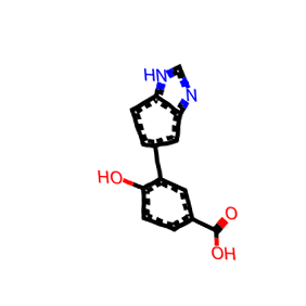 O=C(O)c1ccc(O)c(-c2ccc3[nH]cnc3c2)c1